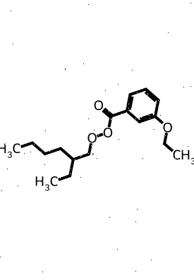 CCCCC([CH]OOC(=O)c1cccc(OCC)c1)CC